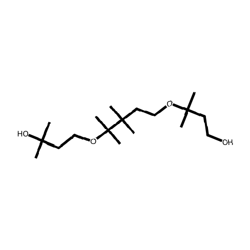 CC(C)(O)CCOC(C)(C)C(C)(C)CCOC(C)(C)CCO